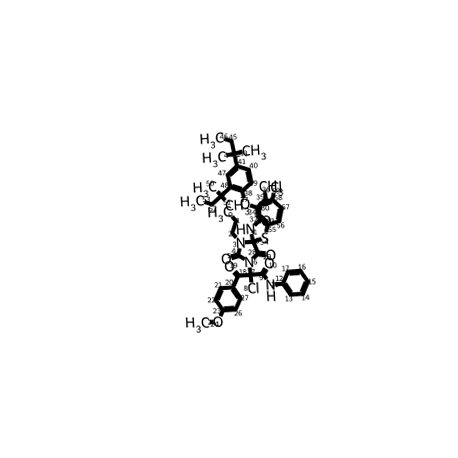 CCCN1C(=O)N(C(Cl)(C(=O)Nc2ccccc2)C(=O)c2ccc(OC)cc2)C(=O)C1(NC(=O)C(CC)Oc1ccc(C(C)(C)CC)cc1C(C)(C)CC)Sc1ccc(Cl)cc1